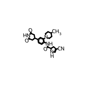 CC1CCN(c2cc(C3CC(=O)NC(=O)C3)ccc2NC(=O)C2CC(C#N)=CN2)CC1